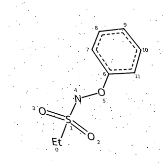 CCS(=O)(=O)[N]Oc1ccccc1